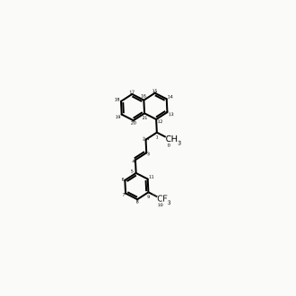 CC([CH]C=Cc1cccc(C(F)(F)F)c1)c1cccc2ccccc12